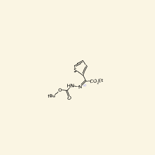 CCOC(=O)/C(=N/NC(=O)OC(C)(C)C)c1cccs1